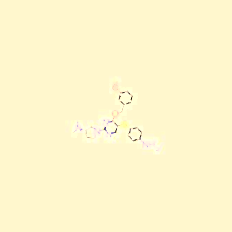 COc1cccc(COc2nc(N3CC[C@@H](N(C)C)C3)ncc2Sc2ccc(N)cc2)c1